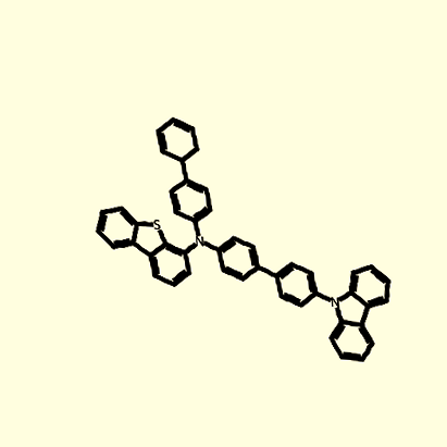 C1=CCC(c2ccc(N(c3ccc(-c4ccc(-n5c6ccccc6c6ccccc65)cc4)cc3)c3cccc4c3sc3ccccc34)cc2)C=C1